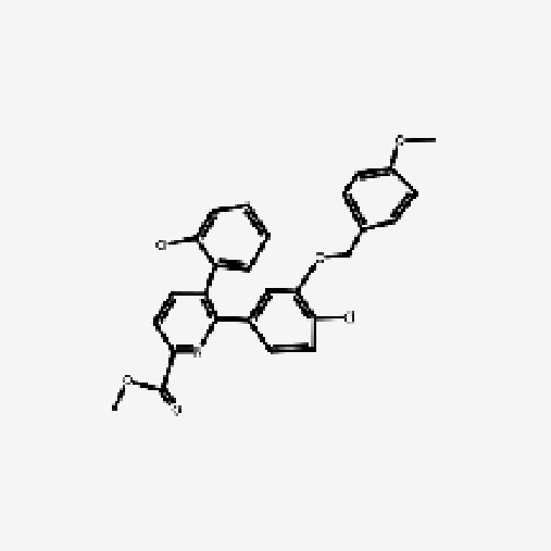 COC(=O)c1ccc(-c2ccccc2Cl)c(-c2ccc(Cl)c(OCc3ccc(OC)cc3)c2)n1